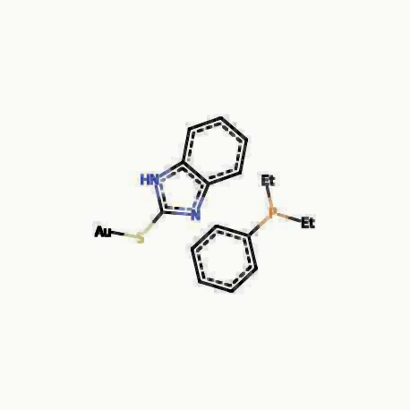 CCP(CC)c1ccccc1.[Au][S]c1nc2ccccc2[nH]1